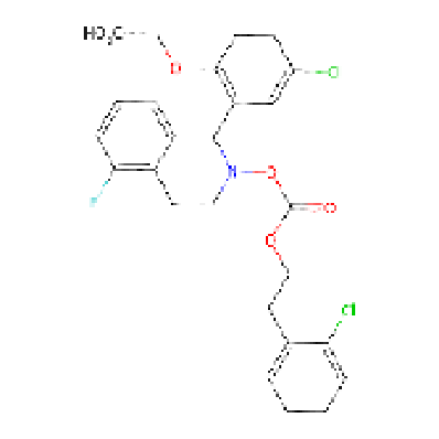 O=C(O)COc1ccc(Cl)cc1C1c2cccc(F)c2CCN1OC(=O)OCCc1ccccc1Cl